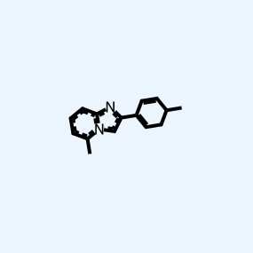 Cc1cccc2nc(C3=CCC(C)C=C3)cn12